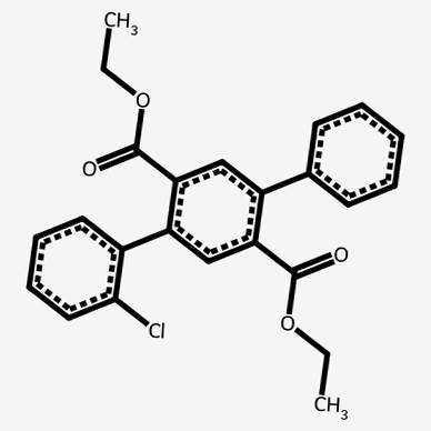 CCOC(=O)c1cc(-c2ccccc2Cl)c(C(=O)OCC)cc1-c1ccccc1